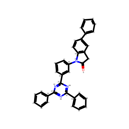 O=C1Cc2cc(-c3ccccc3)ccc2N1c1cccc(-c2nc(-c3ccccc3)nc(-c3ccccc3)n2)c1